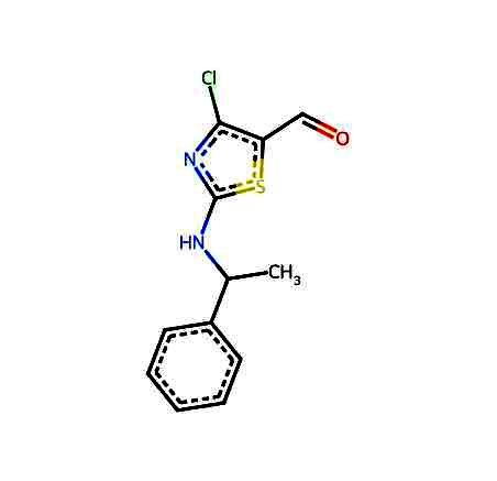 CC(Nc1nc(Cl)c(C=O)s1)c1ccccc1